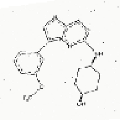 O[C@H]1CC[C@@H](Nc2ccc3ncc(-c4cccc(OC(F)(F)F)c4)n3n2)CC1